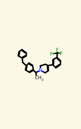 CC(c1ccc(Cc2ccccc2)cc1)N1CC=C(c2cccc(C(F)(F)F)c2)CC1